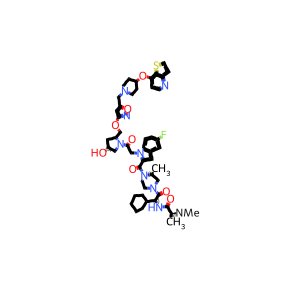 CN[C@@H](C)C(=O)N[C@H](C(=O)N1CCN(C(=O)c2cc3cc(F)ccc3n2CC(=O)N2C[C@@H](O)CC2COc2cc(CN3CCC(Oc4ccnc5ccsc45)CC3)on2)[C@@H](C)C1)C1CCCCC1